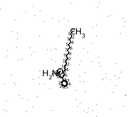 CCCCCCCCCCCCCCCCCC(CC(N)=O)c1ccccc1